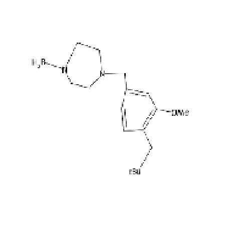 BN1CCN(Cc2ccc(CC(C)(C)C)c(OC)c2)CC1